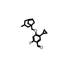 CC1CC2=CCC(COc3cc(F)c(C=O)cc3C3CC3)(C2)C1